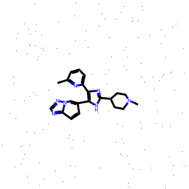 Cc1cccc(-c2nc(C3CCN(C)CC3)[nH]c2-c2ccc3ncnn3c2)n1